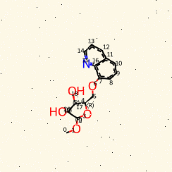 CO[C@@H]1O[C@H](COc2cccc3cccnc23)[C@H](O)[C@H]1O